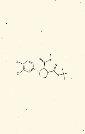 COC(=O)[C@@H]1[C@@H](c2ccc(Cl)c(Cl)c2)CCN1C(=O)OC(C)(C)C